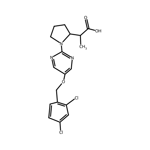 CC(C(=O)O)C1CCCN1c1ncc(OCc2ccc(Cl)cc2Cl)cn1